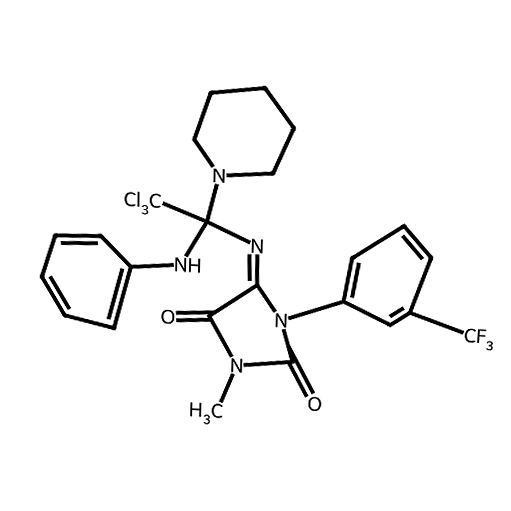 CN1C(=O)C(=NC(Nc2ccccc2)(N2CCCCC2)C(Cl)(Cl)Cl)N(c2cccc(C(F)(F)F)c2)C1=O